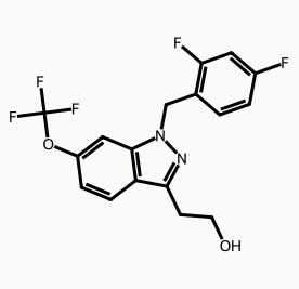 OCCc1nn(Cc2ccc(F)cc2F)c2cc(OC(F)(F)F)ccc12